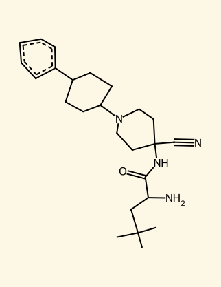 CC(C)(C)CC(N)C(=O)NC1(C#N)CCN(C2CCC(c3ccccc3)CC2)CC1